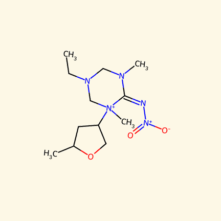 CCN1CN(C)C(=N[N+](=O)[O-])[N+](C)(C2COC(C)C2)C1